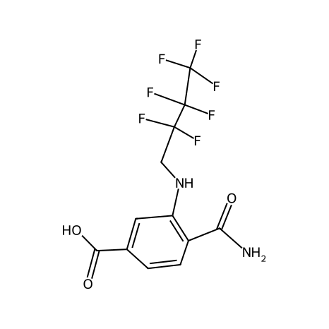 NC(=O)c1ccc(C(=O)O)cc1NCC(F)(F)C(F)(F)C(F)(F)F